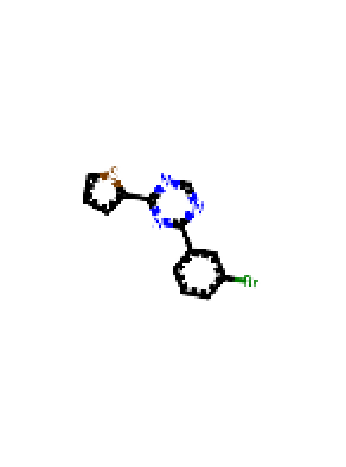 Brc1cccc(-c2ncnc(-c3cccs3)n2)c1